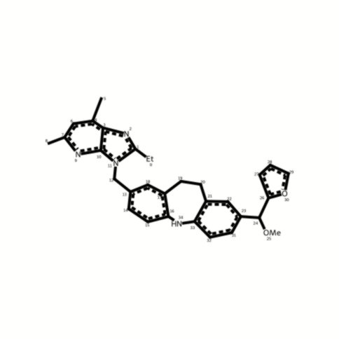 CCc1nc2c(C)cc(C)nc2n1Cc1ccc2c(c1)CCc1cc(C(OC)c3ccco3)ccc1N2